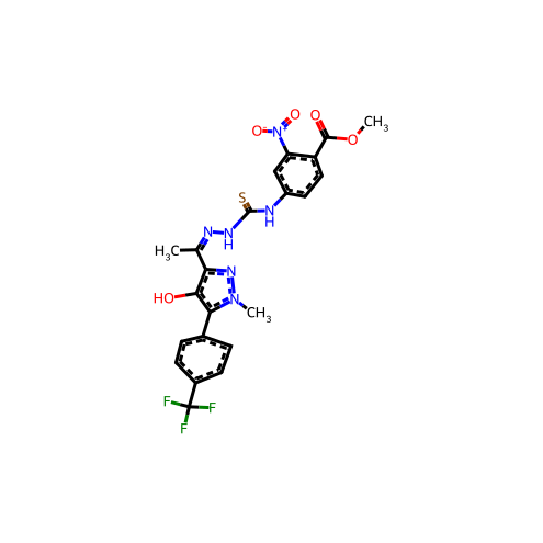 COC(=O)c1ccc(NC(=S)NN=C(C)c2nn(C)c(-c3ccc(C(F)(F)F)cc3)c2O)cc1[N+](=O)[O-]